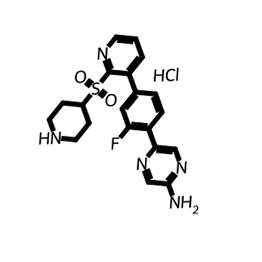 Cl.Nc1cnc(-c2ccc(-c3cccnc3S(=O)(=O)C3CCNCC3)cc2F)cn1